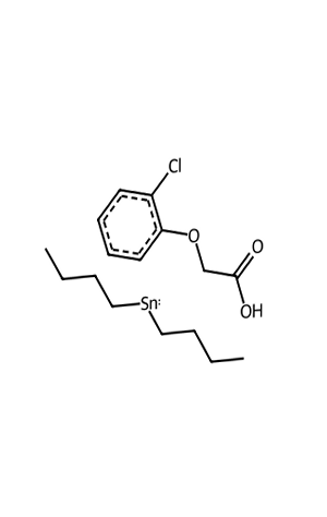 CCC[CH2][Sn][CH2]CCC.O=C(O)COc1ccccc1Cl